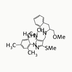 COCC1Cc2ccccc2CN1Cc1c(SC)nn(-c2c(C)cc(C)cc2C)c1N(C)C